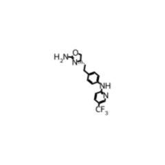 NC1=N[C@@H](CCc2ccc(Nc3ccc(C(F)(F)F)cn3)cc2)CO1